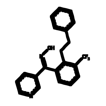 ON=C(c1cccnc1)c1cccc(C(F)(F)F)c1CCc1ccccc1